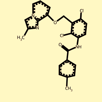 Cc1ccc(C(=O)Nc2ccc(Cl)c(COc3cccn4cc(C)nc34)c2Cl)cc1